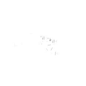 Cc1ccc2c(C(=O)NC(C)CCC3CCC(C)C3)n[nH]c2c1